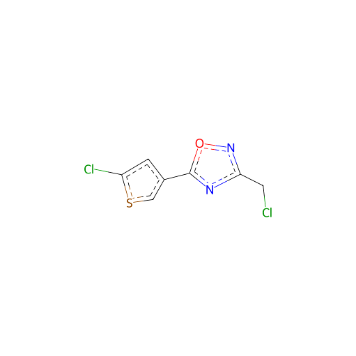 ClCc1noc(-c2csc(Cl)c2)n1